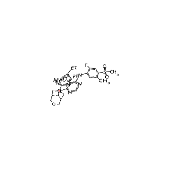 CCc1cnc(N2CC3COCC(C2)C3Oc2ncnc(Nc3cc(C)c(S(C)(=O)=O)cc3F)c2OC)nc1